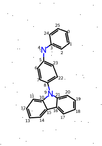 c1ccc([N]c2ccc(-n3c4ccccc4c4ccccc43)cc2)cc1